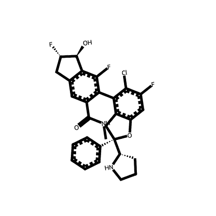 CNC(=O)c1cc2c(c(F)c1-c1c(Cl)c(F)cc3c1C[C@](c1ccccc1)([C@@H]1CCCN1)O3)[C@H](O)[C@@H](F)C2